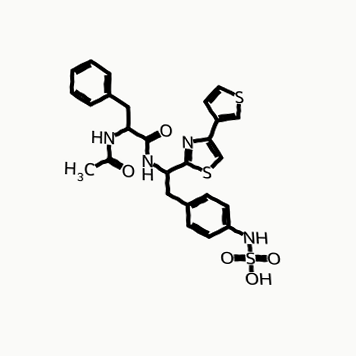 CC(=O)NC(Cc1ccccc1)C(=O)NC(Cc1ccc(NS(=O)(=O)O)cc1)c1nc(-c2ccsc2)cs1